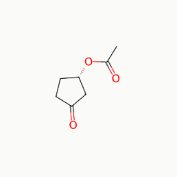 CC(=O)O[C@H]1CCC(=O)C1